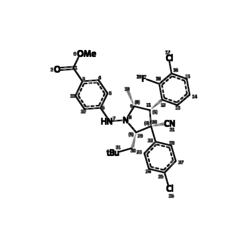 COC(=O)c1ccc(NN2[C@H](C)[C@H](c3cccc(Cl)c3F)[C@@](C#N)(c3ccc(Cl)cc3)[C@@H]2CC(C)(C)C)cc1